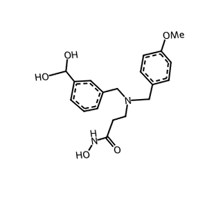 COc1ccc(CN(CCC(=O)NO)Cc2cccc(C(O)O)c2)cc1